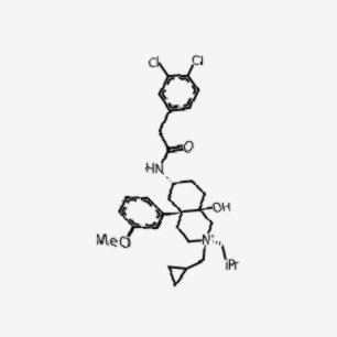 COc1cccc([C@]23CC[N@+](CC(C)C)(CC4CC4)CC2(O)CC[C@@H](NC(=O)Cc2ccc(Cl)c(Cl)c2)C3)c1